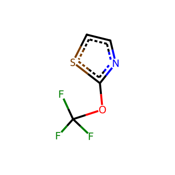 FC(F)(F)Oc1nccs1